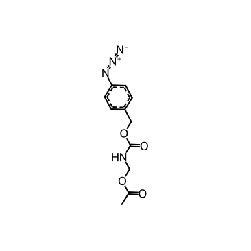 CC(=O)OCNC(=O)OCc1ccc(N=[N+]=[N-])cc1